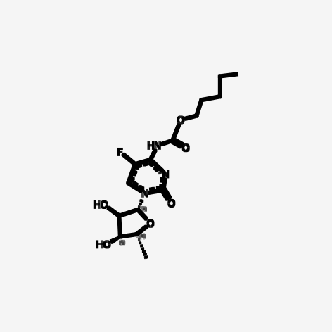 CCCCCOC(=O)Nc1nc(=O)n([C@@H]2O[C@H](C)[C@@H](O)C2O)cc1F